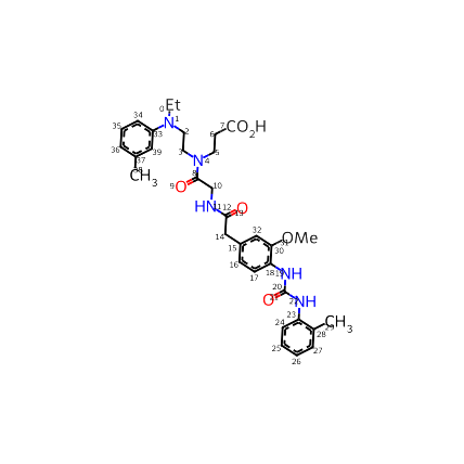 CCN(CCN(CCC(=O)O)C(=O)CNC(=O)Cc1ccc(NC(=O)Nc2ccccc2C)c(OC)c1)c1cccc(C)c1